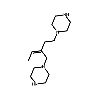 C/C=C(/CCN1CCNCC1)CN1CCNCC1